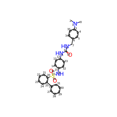 CN(C)c1ccc(CNC(=O)Nc2ccc(NS(=O)(=O)c3ccccc3-c3ccccc3)cc2)cc1